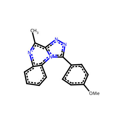 COc1ccc(-c2nnc3c(C)nc4ccccc4n23)cc1